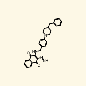 N=NC1=C(NCc2ccc(N3CCC(Cc4ccccc4)CC3)cc2)C(=O)c2ccccc2C1=O